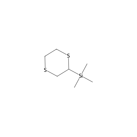 C[Si](C)(C)C1CSCCS1